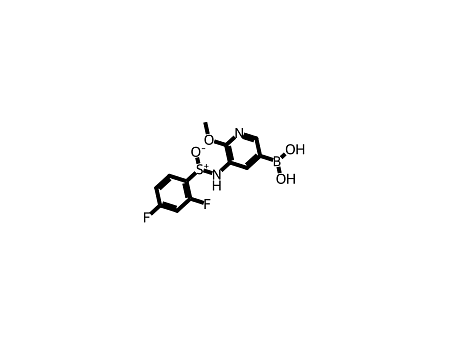 COc1ncc(B(O)O)cc1N[S+]([O-])c1ccc(F)cc1F